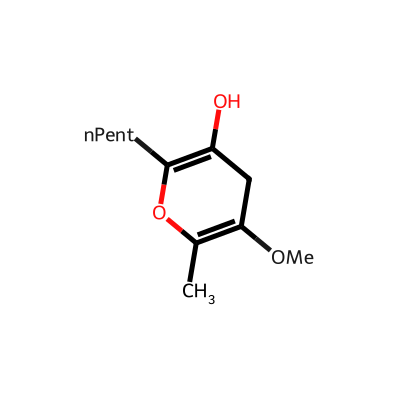 CCCCCC1=C(O)CC(OC)=C(C)O1